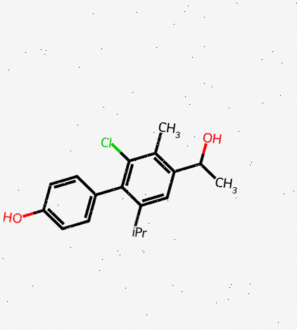 Cc1c(C(C)O)cc(C(C)C)c(-c2ccc(O)cc2)c1Cl